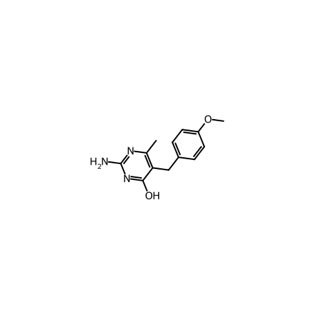 COc1ccc(Cc2c(C)nc(N)nc2O)cc1